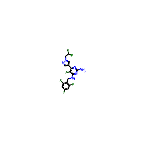 Nc1nc(NCc2c(F)cc(F)cc2F)c(F)c(-c2cnn(CC(F)F)c2)n1